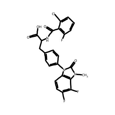 Cn1c(=O)n(-c2ccc(CC(NC(=O)c3c(F)cccc3Cl)C(=O)O)cc2)c2ccc(F)c(F)c21